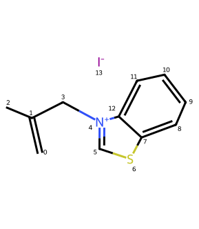 C=C(C)C[n+]1csc2ccccc21.[I-]